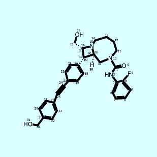 O=C(Nc1ccccc1F)N1CCCCN2[C@@H](CO)[C@@H](c3ccc(C#Cc4ccc(CO)cc4)cc3)[C@@H]2C1